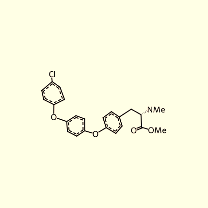 CN[C@@H](Cc1ccc(Oc2ccc(Oc3ccc(Cl)cc3)cc2)cc1)C(=O)OC